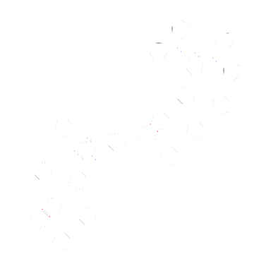 c1ccc(-c2nc(-c3ccc(-c4cccc(-c5ccccc5B5c6ccccc6Oc6c5ccc5c6B(c6cccc(-c7cc(-n8c9ccccc9c9ccccc98)nc(-n8c9ccccc9c9ccccc98)c7)c6)c6ccccc6O5)c4)cc3)nc(-c3cccc(B4c5ccccc5Oc5ccc6c(c54)Oc4ccccc4B6c4ccccc4-c4ccccc4)c3)n2)cc1